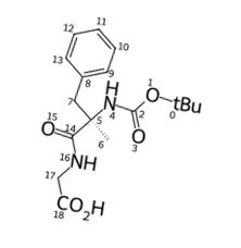 CC(C)(C)OC(=O)N[C@](C)(Cc1ccccc1)C(=O)NCC(=O)O